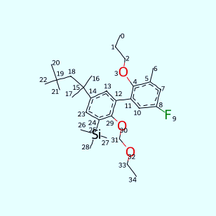 CCCOc1c(C)cc(F)cc1-c1cc(C(C)(C)CC(C)(C)C)cc([Si](C)(C)C)c1OCOCC